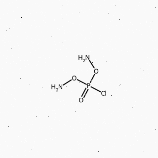 NOP(=O)(Cl)ON